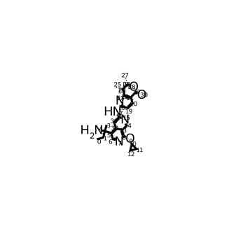 CCC(C)(N)c1cnc(OC2CC2)c2cnc(Nc3ccc4c(n3)[C@H](C)[C@H](C)OC4=O)cc12